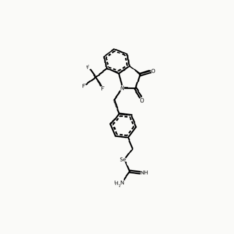 N=C(N)[Se]Cc1ccc(CN2C(=O)C(=O)c3cccc(C(F)(F)F)c32)cc1